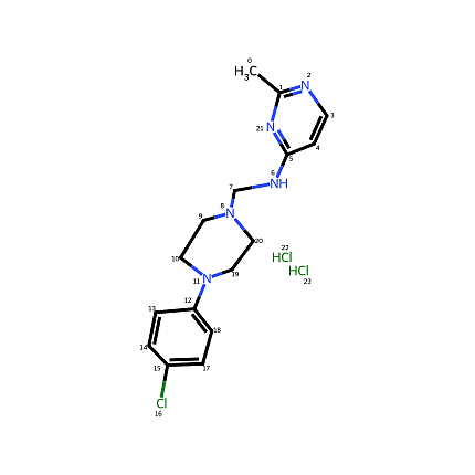 Cc1nccc(NCN2CCN(c3ccc(Cl)cc3)CC2)n1.Cl.Cl